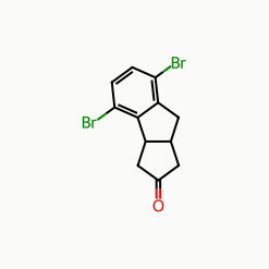 O=C1CC2Cc3c(Br)ccc(Br)c3C2C1